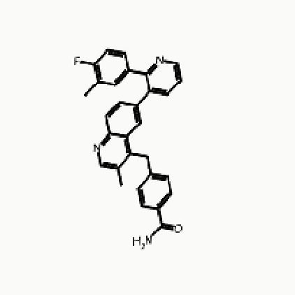 Cc1cc(-c2ncccc2-c2ccc3ncc(C)c(Cc4ccc(C(N)=O)cc4)c3c2)ccc1F